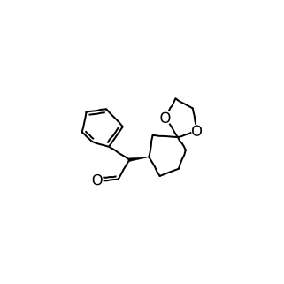 O=CC(c1ccccc1)[C@@H]1CCCC2(C1)OCCO2